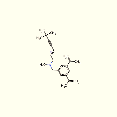 C=C(C)c1cc(CN(C)C/C=C/C#CC(C)(C)C)cc(C(=C)C)c1